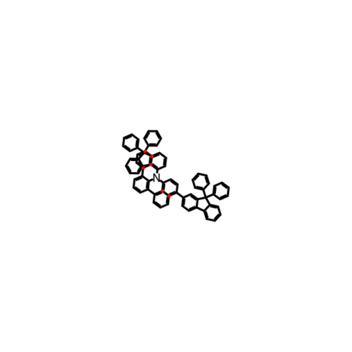 c1ccc(-c2cccc(-c3ccccc3)c2N(c2ccc(-c3ccc4c(c3)C(c3ccccc3)(c3ccccc3)c3ccccc3-4)cc2)c2cccc3c2-c2ccccc2C3(c2ccccc2)c2ccccc2)cc1